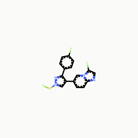 FSn1cc(-c2ccc3ncc(F)n3c2)c(-c2ccc(F)cc2)n1